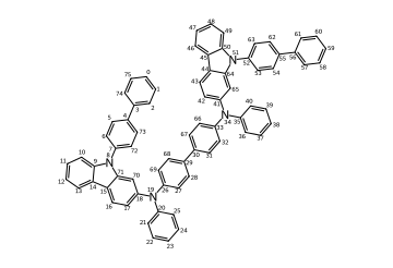 c1ccc(-c2ccc(-n3c4ccccc4c4ccc(N(c5ccccc5)c5ccc(-c6ccc(N(c7ccccc7)c7ccc8c9ccccc9n(-c9ccc(-c%10ccccc%10)cc9)c8c7)cc6)cc5)cc43)cc2)cc1